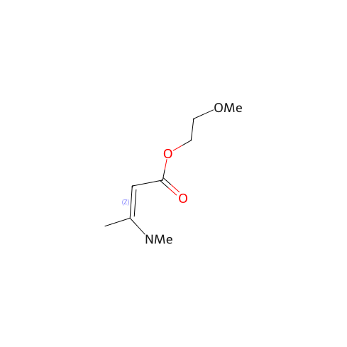 CN/C(C)=C\C(=O)OCCOC